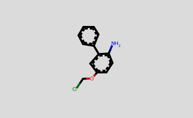 Nc1ccc(OCCl)cc1-c1ccccc1